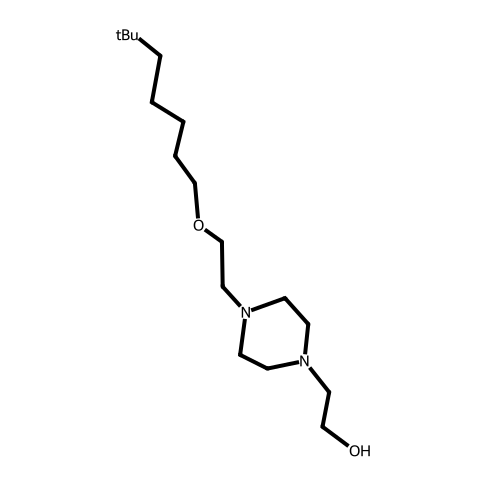 CC(C)(C)CCCCCOCCN1CCN(CCO)CC1